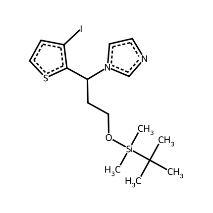 CC(C)(C)[Si](C)(C)OCCC(c1sccc1I)n1ccnc1